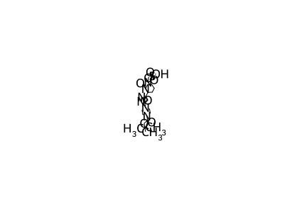 CC(C)(C)OC(=O)N1CCN(c2nnc(C3CCC4CN3C(=O)N4OS(=O)(=O)O)o2)CC1